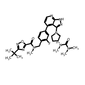 CN(C)C(=O)N(C)[C@@H]1CCN(c2n[nH]c3nccc(-c4ccc(CN(C)C(=O)c5nc(C(C)(C)C)no5)c(F)c4)c23)C1